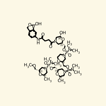 COC[C@@H]1CN(P(=O)(OC[C@@H]2CN(P(=O)(OC[C@@H]3CN(P(=O)(OC[C@@H]4CN(C(=O)CCC(=O)Nc5ccc6c(c5)B(O)OC6)C[C@H](O)O4)N(C)C)CCO3)N(C)C)C[C@H](C)O2)N(C)C)C[C@H](C)O1